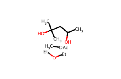 CC(O)CC(C)(C)O.CCOCC.COC(C)=O